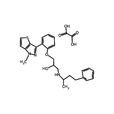 CC(CCc1ccccc1)NCC(O)COc1ccccc1-c1nn(C)c2ccsc12.O=C(O)C(=O)O